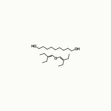 CCC(=COC=C(CC)CC)CC.OCCCCCCCCCO